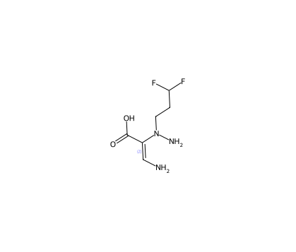 N/C=C(/C(=O)O)N(N)CCC(F)F